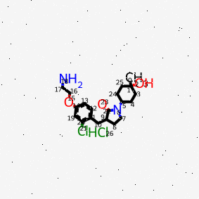 CC1(O)CCC(N2CCC(Cc3ccc(OCCN)cc3Cl)C2=O)CC1.Cl